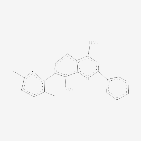 CNc1nc(-c2cccnc2)nc2c(OC)c(-c3cc(F)ccc3F)ccc12